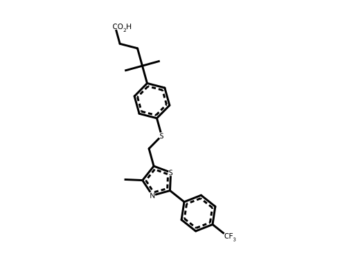 Cc1nc(-c2ccc(C(F)(F)F)cc2)sc1CSc1ccc(C(C)(C)CCC(=O)O)cc1